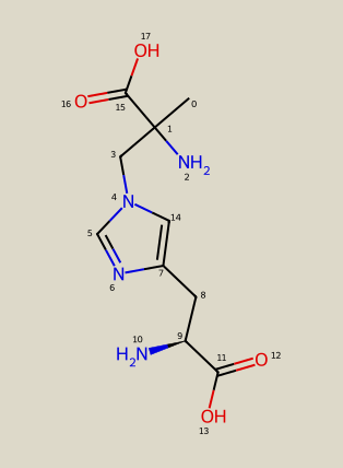 CC(N)(Cn1cnc(C[C@H](N)C(=O)O)c1)C(=O)O